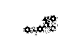 C[C@H]1COC[C@H](C)N1c1cc(C2(S(=O)(=O)c3ccccc3)CC2)nc(-c2ccc(NC(=O)Oc3ccccc3)cc2)n1